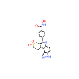 O=C(NO)c1ccc(-c2nc3ccc4[nH]ncc4c3c3c2CS(=O)(=O)CC3)cc1